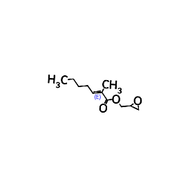 CCCC/C=C(\C)C(=O)OCC1CO1